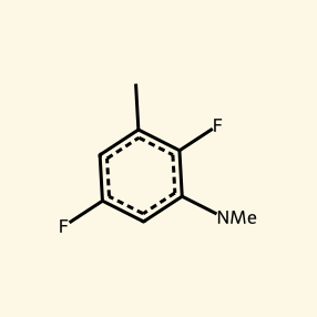 CNc1cc(F)cc(C)c1F